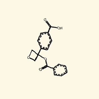 O=C(O)c1ccc(C2(OC(=O)c3ccccc3)COC2)cc1